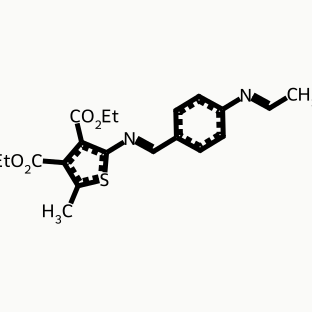 C/C=N/c1ccc(/C=N/c2sc(C)c(C(=O)OCC)c2C(=O)OCC)cc1